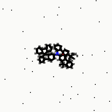 BC(B)(C)c1ccc(-c2ccccc2N(c2ccc3c(c2)C(C)(C)c2ccccc2-3)c2ccc3c(c2)C2(c4ccccc4-c4ccccc42)c2ccccc2-3)cc1